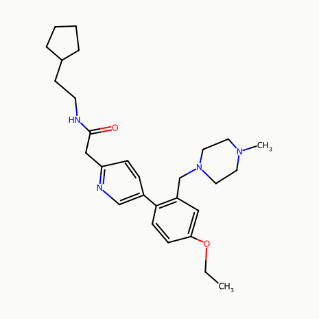 CCOc1ccc(-c2ccc(CC(=O)NCCC3CCCC3)nc2)c(CN2CCN(C)CC2)c1